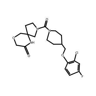 O=C1COCC2(CCN(C(=O)N3CCC(COc4ccc(F)cc4Cl)CC3)C2)N1